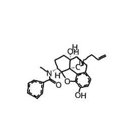 C=CCN1CC[C@]23c4c5ccc(O)c4O[C@H]2[C@H](N(C)C(=O)c2ccccc2)CC[C@@]3(O)[C@H]1C5